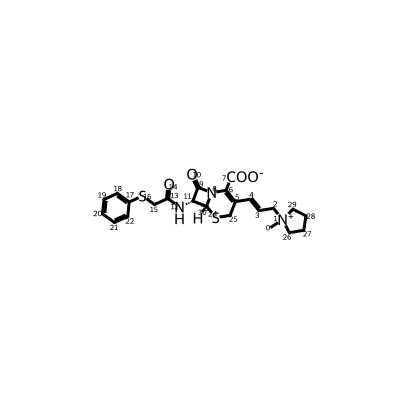 C[N+]1(CC=CC2=C(C(=O)[O-])N3C(=O)[C@@H](NC(=O)CSc4ccccc4)[C@H]3SC2)CCCC1